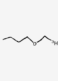 [3H]COCCCC